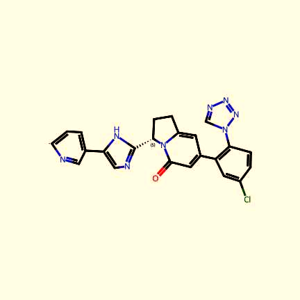 O=c1cc(-c2cc(Cl)ccc2-n2cnnn2)cc2n1[C@H](c1ncc(-c3cc[c]nc3)[nH]1)CC2